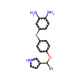 CCC(Oc1ccc(Sc2ccc(N)c(N)c2)cc1)c1cc[nH]c1